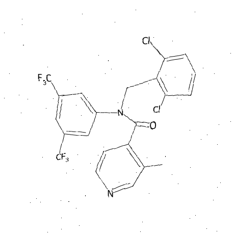 Cc1cnccc1C(=O)N(Cc1c(Cl)cccc1Cl)c1cc(C(F)(F)F)cc(C(F)(F)F)c1